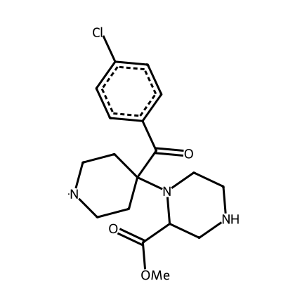 COC(=O)C1CNCCN1C1(C(=O)c2ccc(Cl)cc2)CC[N]CC1